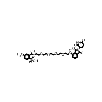 Cc1ccc(S(=O)(=O)O)c(C(C)OCCOCCOCCOCCOCC[S+]([O-])c2cccc3c2C(=O)N(C2CCC(=O)NC2=O)C3=O)c1